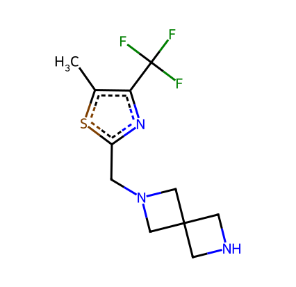 Cc1sc(CN2CC3(CNC3)C2)nc1C(F)(F)F